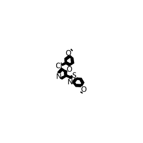 COc1ccc(Oc2ccncc2-c2nc3cc(OC)ccc3s2)c(Cl)c1